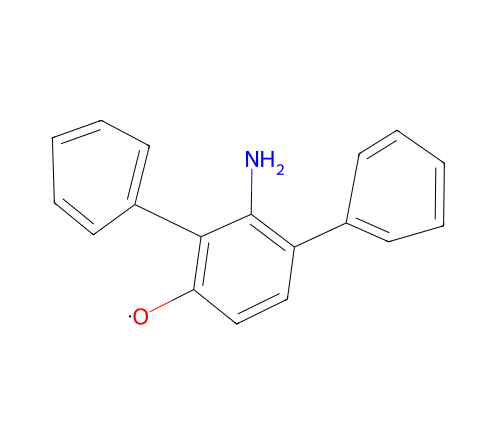 Nc1c(-c2ccccc2)ccc([O])c1-c1ccccc1